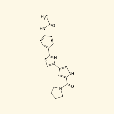 CC(=O)Nc1ccc(-c2nc(-c3c[nH]c(C(=O)N4CCCC4)c3)cs2)cc1